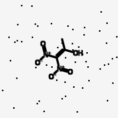 CC(O)=C([N+](=O)[O-])[N+](=O)[O-]